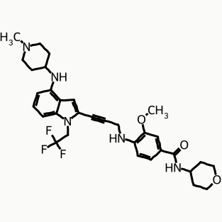 COc1cc(C(=O)NC2CCOCC2)ccc1NCC#Cc1cc2c(NC3CCN(C)CC3)cccc2n1CC(F)(F)F